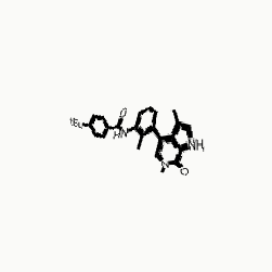 Cc1c(NC(=O)c2ccc(C(C)(C)C)cc2)cccc1-c1cn(C)c(=O)c2[nH]cc(C)c12